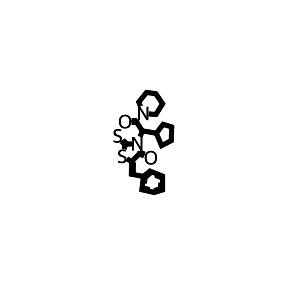 O=C(C(C1CCCC1)N1C(=O)C(=Cc2ccccc2)SC1=S)N1CCCCC1